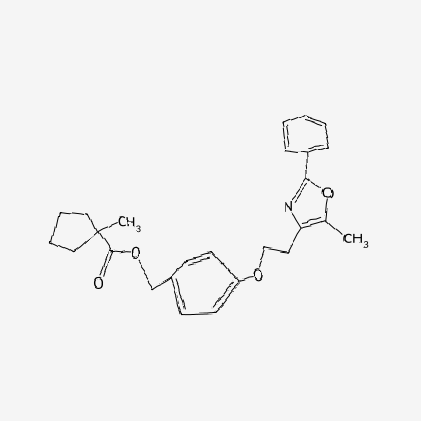 Cc1oc(-c2ccccc2)nc1CCOc1ccc(COC(=O)C2(C)CCCC2)cc1